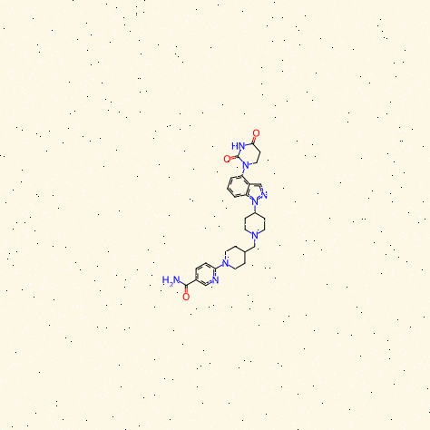 NC(=O)c1ccc(N2CCC(CN3CCC(n4ncc5c(N6CCC(=O)NC6=O)cccc54)CC3)CC2)nc1